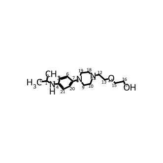 CC(C)Nc1ccc(N2CCN(CCOCCO)CC2)cc1